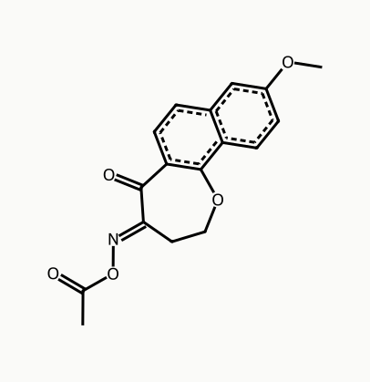 COc1ccc2c3c(ccc2c1)C(=O)/C(=N/OC(C)=O)CCO3